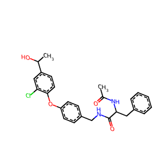 CC(=O)NC(Cc1ccccc1)C(=O)NCc1ccc(Oc2ccc(C(C)O)cc2Cl)cc1